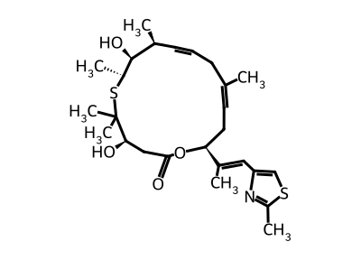 CC1=CC[C@@H](C(C)=Cc2csc(C)n2)OC(=O)C[C@@H](O)C(C)(C)S[C@H](C)[C@@H](O)[C@@H](C)C=CC1